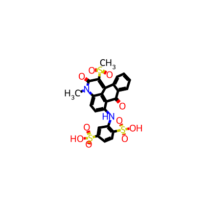 Cn1c(=O)c(S(C)(=O)=O)c2c3c(c(Nc4cc(S(=O)(=O)O)ccc4S(=O)(=O)O)ccc31)C(=O)c1ccccc1-2